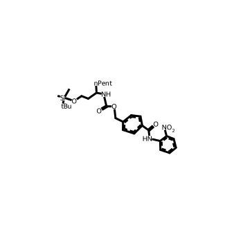 CCCCCC(CCO[Si](C)(C)C(C)(C)C)NC(=O)OCc1ccc(C(=O)Nc2ccccc2[N+](=O)[O-])cc1